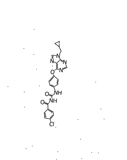 O=C(NC(=O)c1ccc(Cl)cc1)Nc1ccc(Oc2ncnc3c2ncn3CC2CC2)cc1